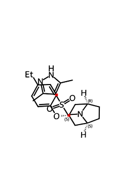 CCc1ccc(O[C@@H]2C[C@H]3CC[C@@H](C2)N3CS(=O)(=O)c2c(C)n[nH]c2C)cc1